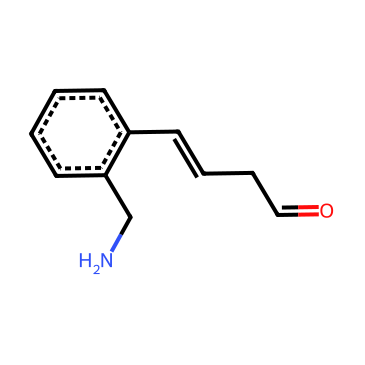 NCc1ccccc1C=CCC=O